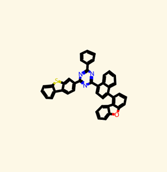 c1ccc(-c2nc(-c3ccc4c(c3)sc3ccccc34)nc(-c3ccc(-c4cccc5oc6ccccc6c45)c4ccccc34)n2)cc1